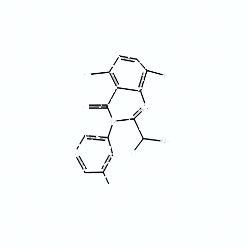 CCC(N)c1nc2c(F)ccc(Cl)c2c(=O)n1-c1cncc(F)c1